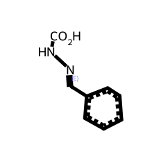 O=C(O)N/N=C/c1ccccc1